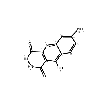 O=c1[nH][nH]c(=O)c2c(O)c3ccc([N+](=O)[O-])cc3nc12